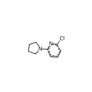 Clc1cccc(N2CCCC2)n1